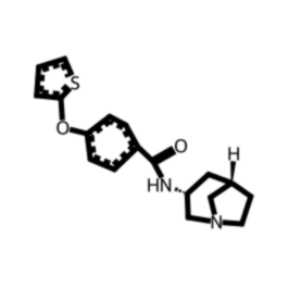 O=C(N[C@@H]1C[C@@H]2CCN(C2)C1)c1ccc(Oc2cccs2)cc1